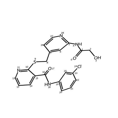 O=C(CO)Nc1cc(CSc2ncccc2C(=O)Nc2cccc(Cl)c2)ccn1